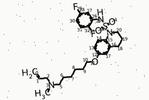 C=CCN(C)CCCCCCOc1ccc2c(c1)CCCN2S(=O)(=O)Nc1cc(F)ccc1F